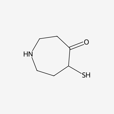 O=C1CCNCCC1S